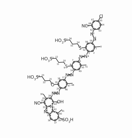 Cc1cc(N=Nc2cc(SCCCS(=O)(=O)O)c(N=Nc3cc(OCCCS(=O)(=O)O)c(N=Nc4c(C)c(C#N)c5nc6ccc(S(=O)(=O)O)c(C)c6n5c4O)cc3C)cc2C)c(SCCCS(=O)(=O)O)cc1N=Nc1ccc(Cl)cc1C#N